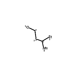 CCCC(CC)SC[O]